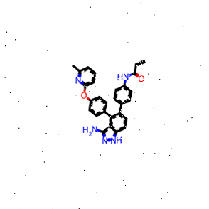 C=CC(=O)Nc1ccc(-c2ccc3[nH]nc(N)c3c2-c2ccc(Oc3cccc(C)n3)cc2)cc1